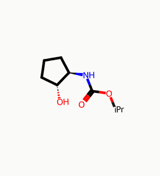 CC(C)OC(=O)N[C@@H]1CCC[C@H]1O